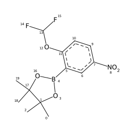 CC1(C)OB(c2cc([N+](=O)[O-])ccc2OC(F)F)OC1(C)C